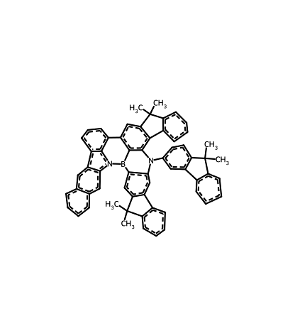 CC1(C)c2ccccc2-c2cc(N3c4cc5c(cc4B4c6c(cc7c(c63)-c3ccccc3C7(C)C)-c3cccc6c7cc8ccccc8cc7n4c36)C(C)(C)c3ccccc3-5)ccc21